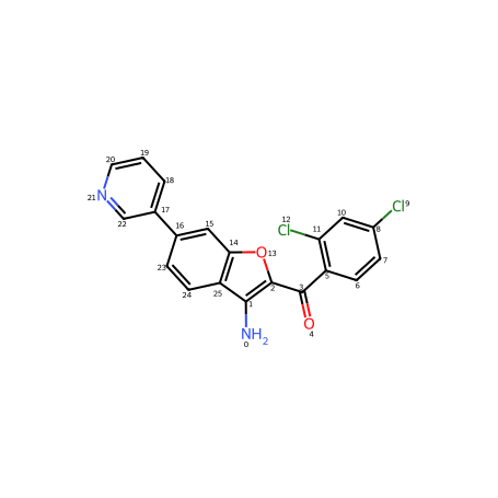 Nc1c(C(=O)c2ccc(Cl)cc2Cl)oc2cc(-c3cccnc3)ccc12